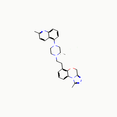 Cc1ccc2c(N3CCN(CCc4cccc5c4OCc4nnc(C)n4-5)[C@H](C)C3)cccc2n1.Cl.Cl